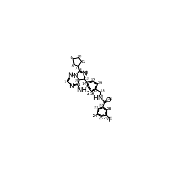 NC1=NC=NN2C(C3CCCC3)=NC(c3ccc(CNC(=O)c4cccc(F)c4)cc3)C12